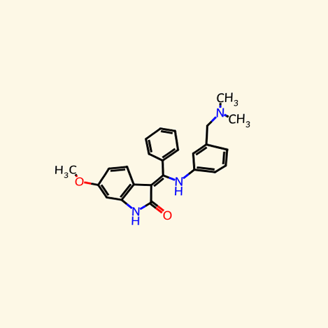 COc1ccc2c(c1)NC(=O)/C2=C(\Nc1cccc(CN(C)C)c1)c1ccccc1